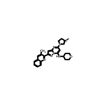 Cc1cc2ccccc2nc1-c1cc2nc(N3CC[C@@H](F)C3)cc(NC3CCOCC3)n2n1